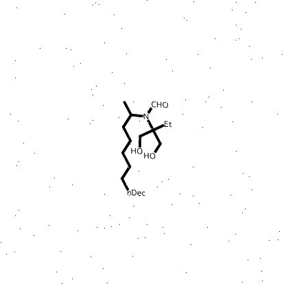 CCCCCCCCCCCCCCCC(C)N(C=O)C(CC)(CO)CO